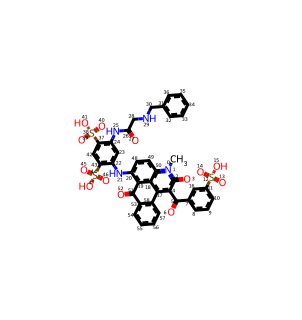 Cn1c(=O)c(C(=O)c2cccc(S(=O)(=O)O)c2)c2c3c(c(Nc4cc(NC(=O)CNCc5ccccc5)c(S(=O)(=O)O)cc4S(=O)(=O)O)ccc31)C(=O)c1ccccc1-2